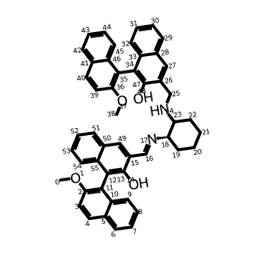 COc1ccc2ccccc2c1-c1c(O)c(/C=N/[C@@H]2CCCCC2NCc2cc3ccccc3c(-c3c(OC)ccc4ccccc34)c2O)cc2ccccc12